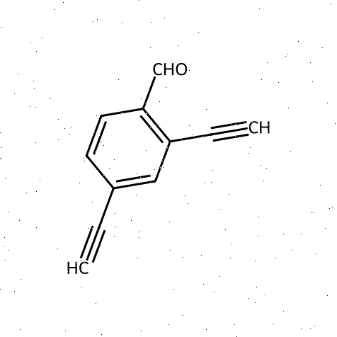 C#Cc1ccc(C=O)c(C#C)c1